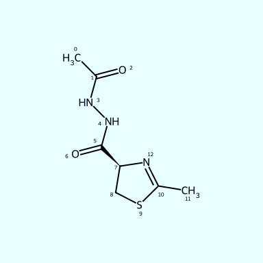 CC(=O)NNC(=O)[C@@H]1CSC(C)=N1